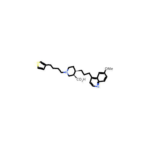 COc1ccc2nccc(CCC[C@@H]3CCN(CCCCc4ccsc4)C[C@@H]3C(=O)O)c2c1